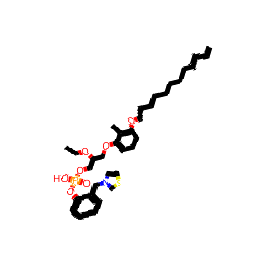 CCCCCCCCCCCCOc1cccc(OCC(COP(=O)(O)Oc2ccccc2CN2C=CSC2)OCC)c1C